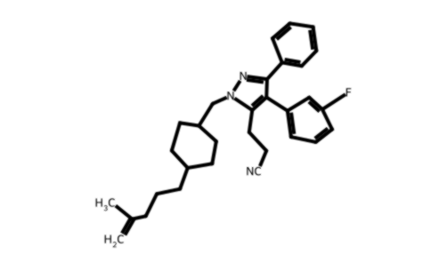 C=C(C)CCCC1CCC(Cn2nc(-c3ccccc3)c(-c3cccc(F)c3)c2CCC#N)CC1